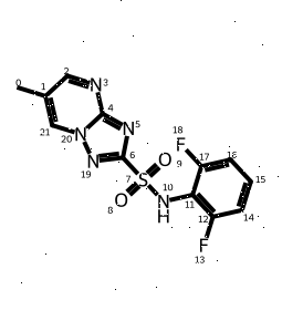 Cc1cnc2nc(S(=O)(=O)Nc3c(F)cccc3F)nn2c1